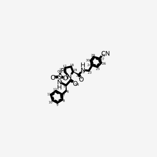 CC(C)S(=O)(=O)N[C@H](Cc1ccccc1)C(=O)N1CCC[C@H]1C(=O)NCc1ccc(C#N)cc1